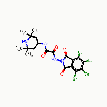 CC1(C)CC(NC(=O)C(=O)NN2C(=O)c3c(Br)c(Br)c(Br)c(Br)c3C2=O)CC(C)(C)N1